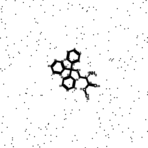 N[C@@H](CSC(c1ccccc1)(c1ccccc1)c1ccccc1)C(=O)OCl